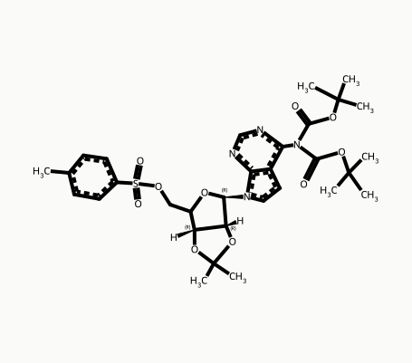 Cc1ccc(S(=O)(=O)OCC2O[C@@H](n3ccc4c(N(C(=O)OC(C)(C)C)C(=O)OC(C)(C)C)ncnc43)[C@@H]3OC(C)(C)O[C@H]23)cc1